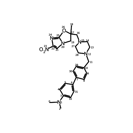 CN(C)c1ccc(-c2ccc(CN3CCN(CC4(C)Cn5cc([N+](=O)[O-])nc5O4)CC3)cc2)cc1